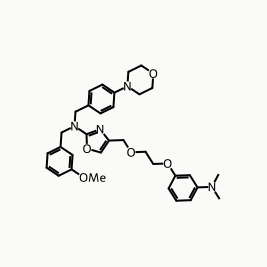 COc1cccc(CN(Cc2ccc(N3CCOCC3)cc2)c2nc(COCCOc3cccc(N(C)C)c3)co2)c1